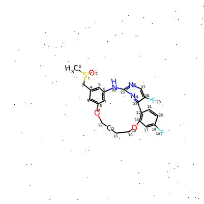 C[S+]([O-])Cc1cc2cc(c1)OCCCCOc1cc(F)ccc1-c1nc(ncc1F)N2